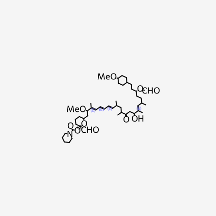 COC1CCC(CCC(CCC(C)/C=C(\C)C(O)CC(=O)C(C)CC(C)/C=C/C=C/C=C(\C)C(CC2CCC[C@@](C=O)(OC(=O)N3CCCCC3)O2)OC)OC=O)CC1